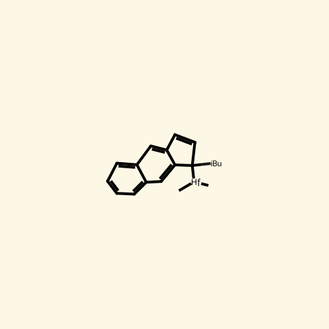 CCC(C)[C]1([Hf]([CH3])[CH3])C=Cc2cc3ccccc3cc21